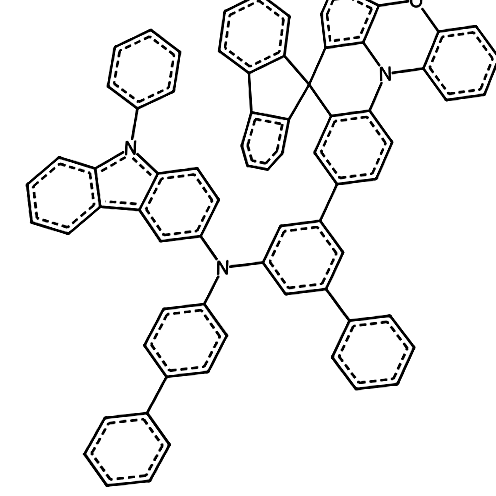 c1ccc(-c2ccc(N(c3cc(-c4ccccc4)cc(-c4ccc5c(c4)C4(c6ccccc6-c6ccccc64)c4cccc6c4N5c4ccccc4O6)c3)c3ccc4c(c3)c3ccccc3n4-c3ccccc3)cc2)cc1